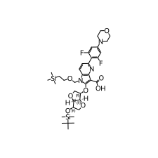 CC(C)(C)[Si](C)(C)O[C@@H]1CO[C@H]2[C@@H]1OC[C@H]2Oc1c(C(=O)O)c2nc(-c3c(F)cc(N4CCOCC4)cc3F)ccc2n1COCC[Si](C)(C)C